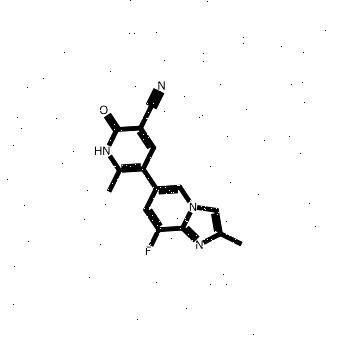 Cc1cn2cc(-c3cc(C#N)c(=O)[nH]c3C)cc(F)c2n1